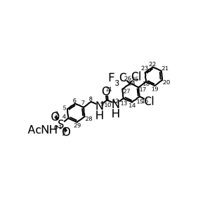 CC(=O)NS(=O)(=O)c1ccc(CNC(=O)NC2=CC(Cl)=C(c3ccccc3)C(Cl)(C(F)(F)F)C2)cc1